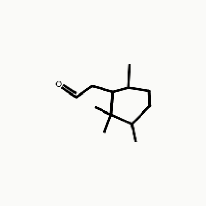 CC1CCC(C)C(C)(C)C1CC=O